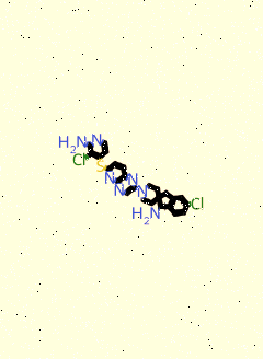 Nc1nccc(Sc2ccc3nc(N4CCC5(CC4)Cc4cc(Cl)ccc4[C@@H]5N)cnc3n2)c1Cl